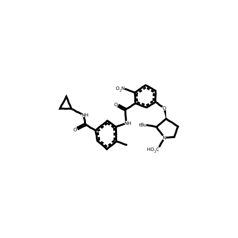 Cc1ccc(C(=O)NC2CC2)cc1NC(=O)c1cc(O[C@H]2CCN(C(=O)O)C2C(C)(C)C)ccc1[N+](=O)[O-]